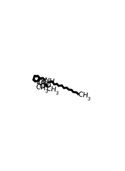 CCCCCCCCCCCCCC(=O)NC(Cc1ccccc1)P(=O)(OCC)OCC